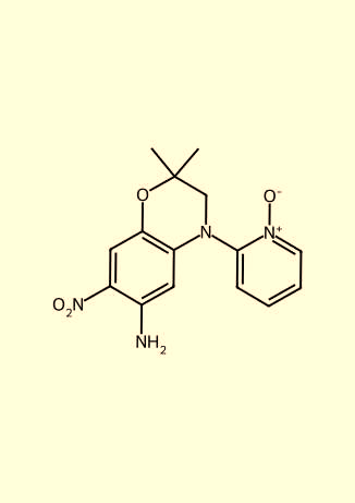 CC1(C)CN(c2cccc[n+]2[O-])c2cc(N)c([N+](=O)[O-])cc2O1